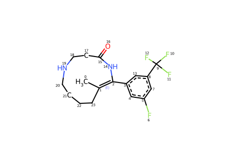 C/C1=C(/c2cc(F)cc(C(F)(F)F)c2)NC(=O)CCNCCCC1